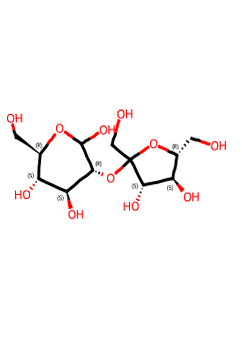 OC[C@H]1OC(CO)(O[C@H]2C(O)O[C@H](CO)[C@@H](O)[C@@H]2O)[C@@H](O)[C@@H]1O